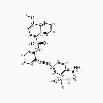 COc1ccc(S(=O)(=O)Nc2ccccc2C#Cc2ccc(C(N)=O)c(S(C)(=O)=O)c2)c2ccccc12